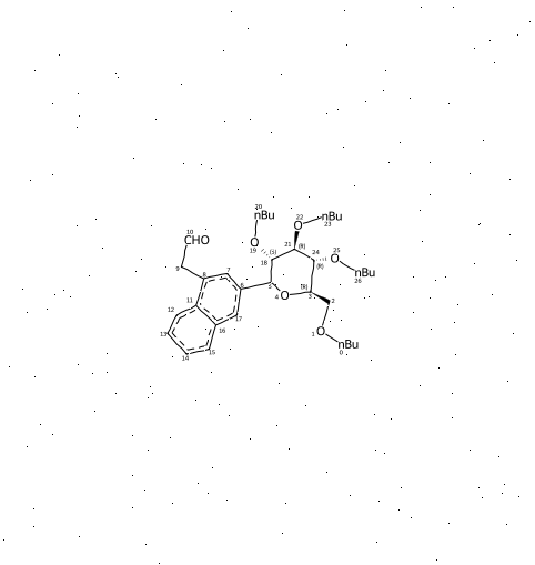 CCCCOC[C@H]1OC(c2cc(CC=O)c3ccccc3c2)[C@H](OCCCC)[C@@H](OCCCC)[C@@H]1OCCCC